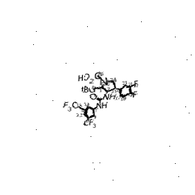 CC(C)(C)C1[C@@H](NC(=O)Nc2cc(C(F)(F)F)cc(C(F)(F)F)c2)[C@H](c2ccc(F)c(F)c2)CN1C(=O)O